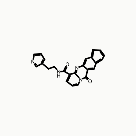 O=C(NCCc1cccnc1)c1cccn2c(=O)c3cc4ccccc4cc3nc12